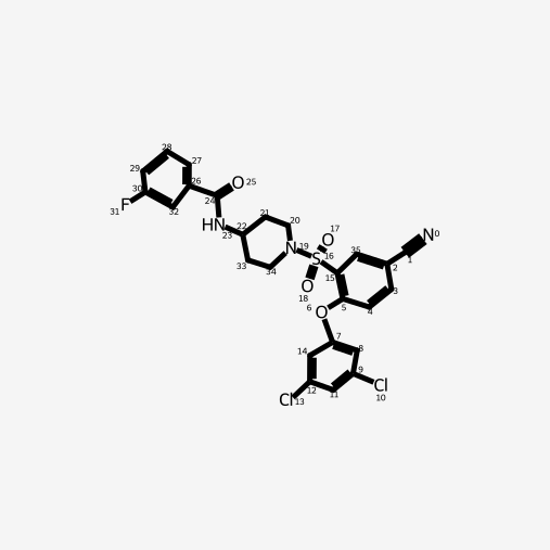 N#Cc1ccc(Oc2cc(Cl)cc(Cl)c2)c(S(=O)(=O)N2CCC(NC(=O)c3cccc(F)c3)CC2)c1